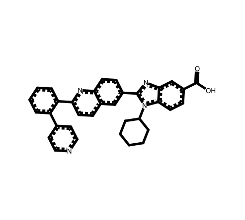 O=C(O)c1ccc2c(c1)nc(-c1ccc3nc(-c4ccccc4-c4ccncc4)ccc3c1)n2C1CCCCC1